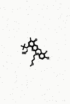 COCCCNc1nc2c(cc1Cc1cccc(Cl)c1F)c(=O)c(C)cn2[C@H](CO)C(C)(C)C